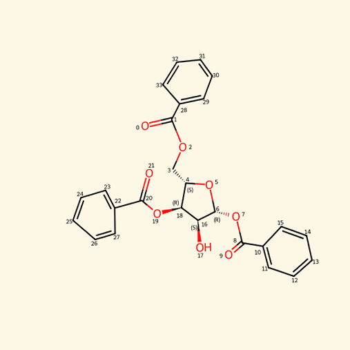 O=C(OC[C@@H]1O[C@H](OC(=O)c2ccccc2)[C@@H](O)[C@H]1OC(=O)c1ccccc1)c1ccccc1